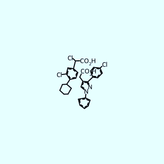 O=C(O)C(Cl)c1ccc(C2CCCCC2)c(Cl)c1.O=C(O)Cc1cn(-c2ccccc2)nc1-c1ccc(Cl)cc1